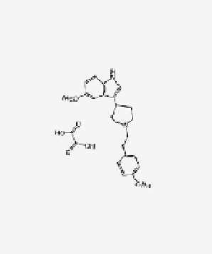 COc1ccc(CCN2CCC(c3c[nH]c4ccc(OC)cc34)CC2)cc1.O=C(O)C(=O)O